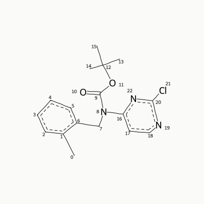 Cc1ccccc1CN(C(=O)OC(C)(C)C)c1ccnc(Cl)n1